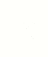 Cc1c(Cl)ccc2c1[nH]c1c(C#N)cccc12